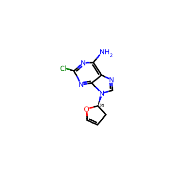 Nc1nc(Cl)nc2c1ncn2[C@H]1CC=CO1